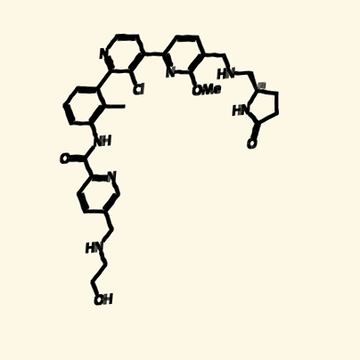 COc1nc(-c2ccnc(-c3cccc(NC(=O)c4ccc(CNCCO)cn4)c3C)c2Cl)ccc1CNC[C@H]1CCC(=O)N1